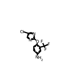 Nc1ccc(Oc2ncc(Cl)cn2)c(C(F)(F)F)c1